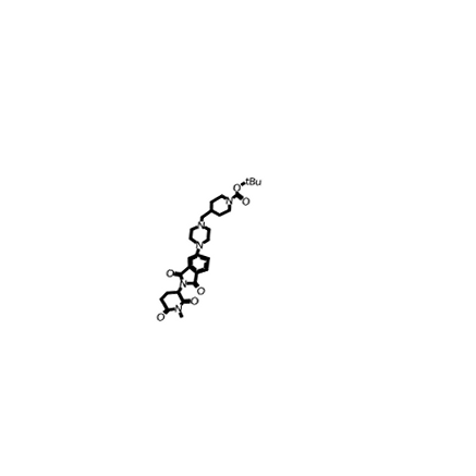 CN1C(=O)CCC(N2C(=O)c3ccc(N4CCN(CC5CCN(C(=O)OC(C)(C)C)CC5)CC4)cc3C2=O)C1=O